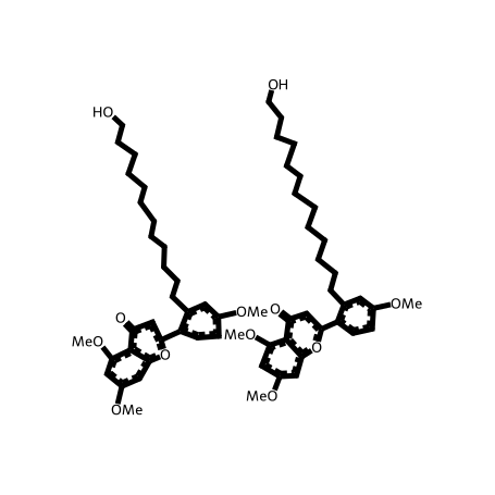 COc1ccc(-c2cc(=O)c3c(OC)cc(OC)cc3o2)c(CCCCCCCCCCCCCO)c1.COc1ccc(-c2cc(=O)c3c(OC)cc(OC)cc3o2)c(CCCCCCCCCCCCO)c1